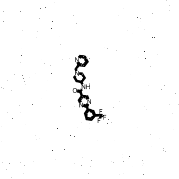 O=C(NC1CCN(Cc2ccccn2)CC1)c1cnc(-c2cccc(C(F)(F)F)c2)nc1